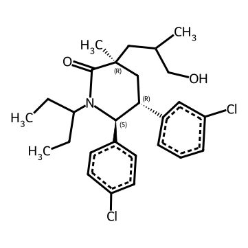 CCC(CC)N1C(=O)[C@@](C)(CC(C)CO)C[C@H](c2cccc(Cl)c2)[C@H]1c1ccc(Cl)cc1